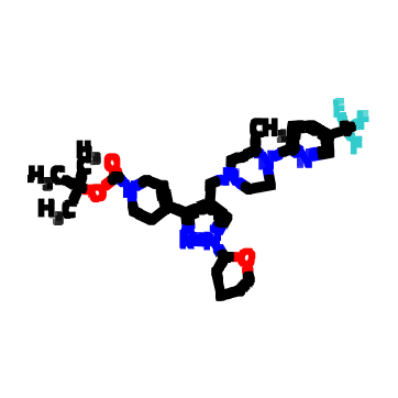 CC1CN(Cc2cn(C3CCCCO3)nc2C2=CCN(C(=O)OC(C)(C)C)CC2)CCN1c1ccc(C(F)(F)F)cn1